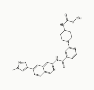 Cn1cc(-c2ccc3cnc(NC(=O)c4ccnc(N5CCC(NC(=O)OC(C)(C)C)CC5)c4)cc3c2)cn1